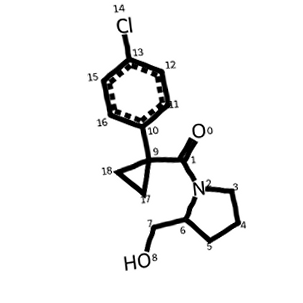 O=C(N1CCCC1CO)C1(c2ccc(Cl)cc2)CC1